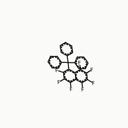 Fc1c(F)c(F)c2c(C(c3ccccc3)(c3ccccc3)c3ccccc3)c(F)c(F)c(F)c2c1F